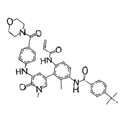 C=CC(=O)Nc1ccc(NC(=O)c2ccc(C(C)(C)C)cc2)c(C)c1-c1cc(Nc2ccc(C(=O)N3CCOCC3)cc2)c(=O)n(C)c1